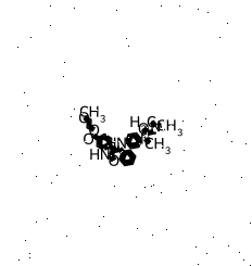 COCCOC(=O)c1ccc2c(c1)NC(=O)C2=C(Nc1ccc(N(C)C(=O)CN(C)C)cc1)c1ccccc1